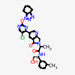 Cc1cccc([C@@H](CO)NC(=O)C(C)N2Cc3ncc(-c4nc(On5nnc6ccccc65)ncc4Cl)cc3C2=O)c1